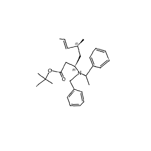 CC=C[C@@H](C)C[C@H](CC(=O)OC(C)(C)C)N(Cc1ccccc1)C(C)c1ccccc1